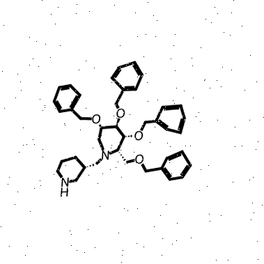 c1ccc(COC[C@H]2[C@@H](OCc3ccccc3)[C@H](OCc3ccccc3)[C@@H](OCc3ccccc3)CN2C[C@H]2CCCNC2)cc1